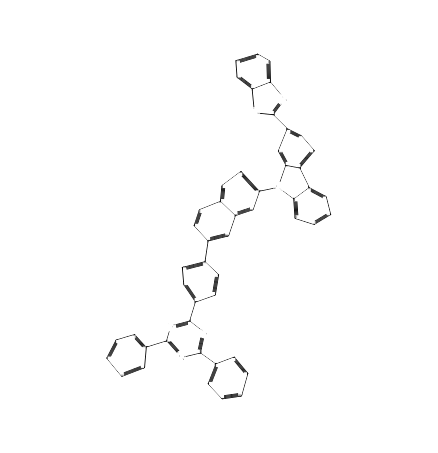 c1ccc(-c2nc(-c3ccccc3)nc(-c3ccc(-c4ccc5ccc(-n6c7ccccc7c7ccc(-c8nc9ccccc9o8)cc76)cc5c4)cc3)n2)cc1